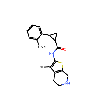 COc1ccccc1C1CC1C(=O)Nc1sc2c(c1C#N)CCNC2